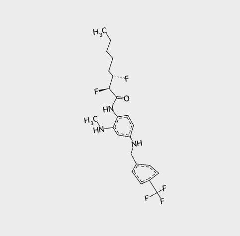 CCCCC[C@H](F)[C@H](F)C(=O)Nc1ccc(NCc2ccc(C(F)(F)F)cc2)cc1NC